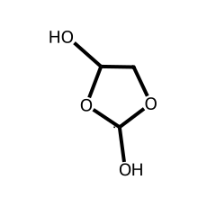 O[C]1OCC(O)O1